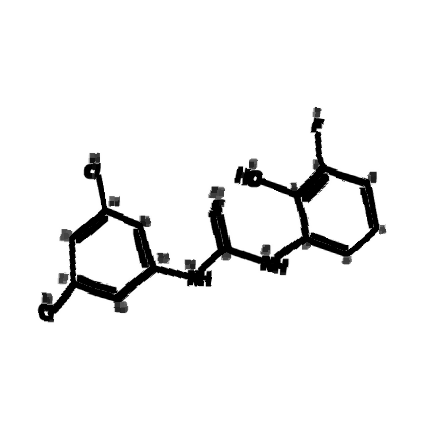 Oc1c(F)cccc1NC(=S)Nc1cc(Cl)cc(Cl)c1